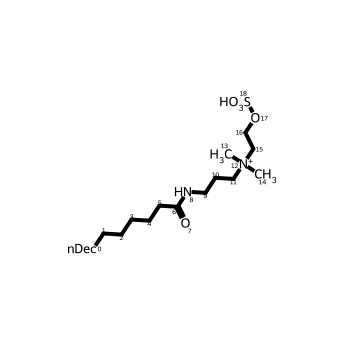 CCCCCCCCCCCCCCCC(=O)NCCC[N+](C)(C)CCOS(=O)(=O)O